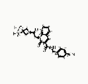 CC1(C)CN(C(=O)Cn2c(=O)c(C(=O)NCc3ccc(C#N)cc3)cc3cccnc32)C1